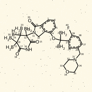 BC(B)(Oc1cccc2c1CN(C1(B)C(=O)NC(=O)C(B)(B)C1(B)B)C2=O)c1cc(CN2CCOCC2)ccc1F